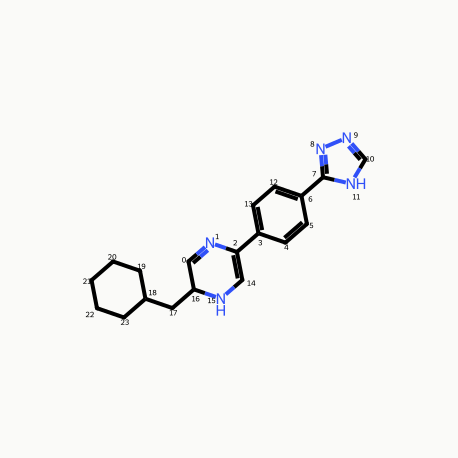 C1=NC(c2ccc(-c3nnc[nH]3)cc2)=CNC1CC1CCCCC1